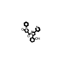 O=C1CC(C(=O)N2N=C(c3cccnc3)CC2C2=C(O)CCC=C2)CN1c1ccccc1